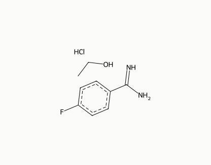 CCO.Cl.N=C(N)c1ccc(F)cc1